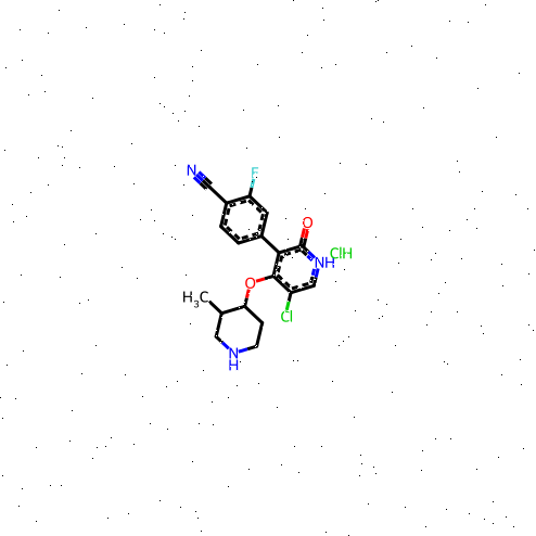 CC1CNCCC1Oc1c(Cl)c[nH]c(=O)c1-c1ccc(C#N)c(F)c1.Cl